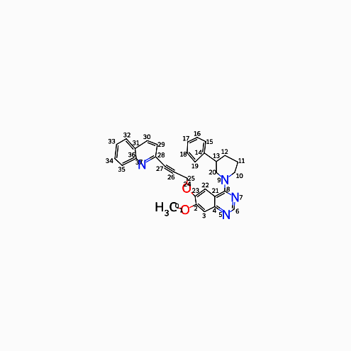 COc1cc2ncnc(N3CCCC(c4ccccc4)C3)c2cc1OCC#Cc1ccc2ccccc2n1